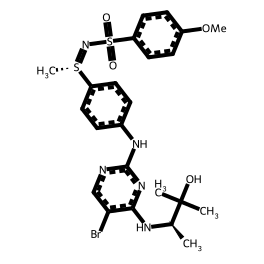 COc1ccc(S(=O)(=O)N=[S@@](C)c2ccc(Nc3ncc(Br)c(N[C@H](C)C(C)(C)O)n3)cc2)cc1